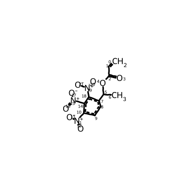 C=CC(=O)OC(C)c1ccc([N+](=O)[O-])c([N+](=O)[O-])c1[N+](=O)[O-]